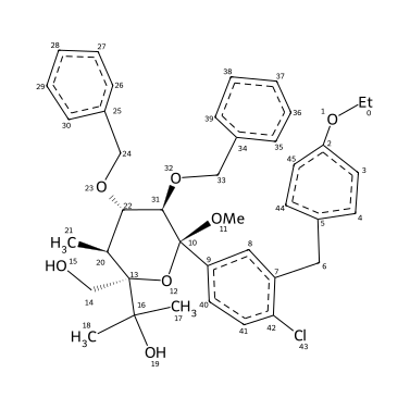 CCOc1ccc(Cc2cc([C@]3(OC)O[C@@](CO)(C(C)(C)O)[C@@H](C)[C@H](OCc4ccccc4)[C@H]3OCc3ccccc3)ccc2Cl)cc1